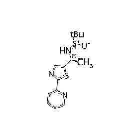 C[C@H](N[S@+]([O-])C(C)(C)C)c1cnc(-c2ccccn2)s1